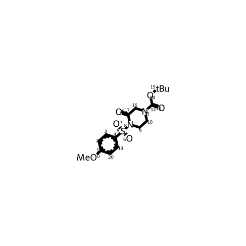 COc1ccc(S(=O)(=O)N2CCN(C(=O)OC(C)(C)C)CC2=O)cc1